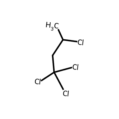 CC(Cl)CC(Cl)(Cl)Cl